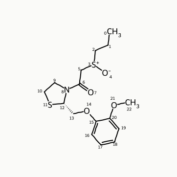 CCC[S+]([O-])CC(=O)N1CCS[C@H]1COc1ccccc1OC